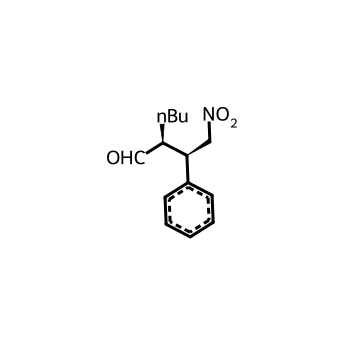 CCCC[C@H](C=O)[C@@H](C[N+](=O)[O-])c1ccccc1